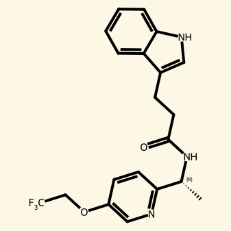 C[C@@H](NC(=O)CCc1c[nH]c2ccccc12)c1ccc(OCC(F)(F)F)cn1